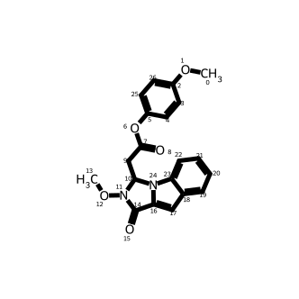 COc1ccc(OC(=O)CC2N(OC)C(=O)c3cc4ccccc4n32)cc1